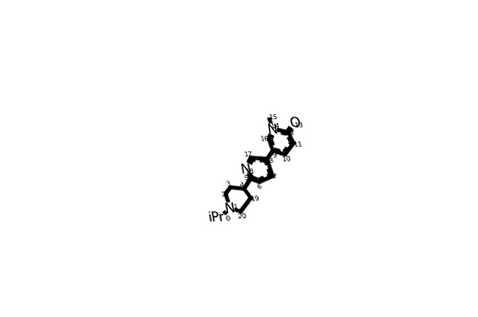 CC(C)N1CCC(c2ccc(-c3ccc(=O)n(C)c3)cn2)CC1